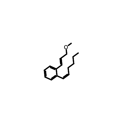 CCCC/C=C\c1ccccc1/C=C/COC